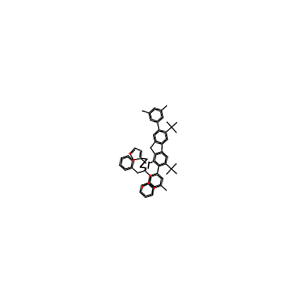 Cc1cc(C)cc(-c2cc3c(cc2C(C)(C)C)-c2cc(C(C)(C)C)c(-c4cc(C)cc(C)c4)[c]([Zr]([C]4=CC=CC4)=[C](Cc4ccccc4)Cc4ccccc4)c2C3)c1